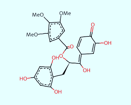 COc1cc(C(=O)O[C@H](Cc2c(O)cc(O)cc2O)/C(O)=C2\C=CC(=O)C(O)=C2)cc(OC)c1OC